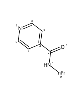 CCCNC(=O)c1[c]cncc1